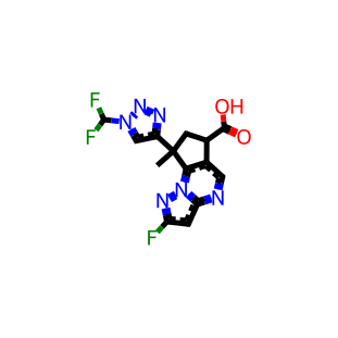 CC1(c2cn(C(F)F)nn2)CC(C(=O)O)c2cnc3cc(F)nn3c21